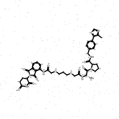 Cc1ncsc1-c1ccc(CNC(=O)C2CCCN2C(=O)[C@@H](NC(=O)COCCCOCC(=O)Nc2cccc3c2C(=O)N(C2CCC(=O)NC2=O)C3=O)C(C)(C)C)cc1